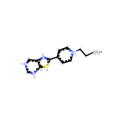 O=C(O)CC[n+]1ccc(-c2nc3cncnc3s2)cc1